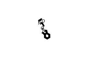 [c]1c2ccccc2cn1OCc1ncco1